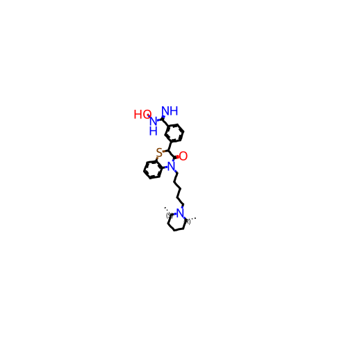 C[C@@H]1CCC[C@H](C)N1CCCCCN1C(=O)C(c2cccc(C(=N)NO)c2)Sc2ccccc21